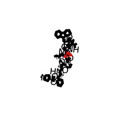 CC[C@H](C)[C@@H]([C@@H](CC(=O)N1CCC[C@H]1[C@H](OC)[C@@H](C)C(=O)N[C@H](C)[C@@H](OC(=O)N1CCN(C)CC1)c1ccccc1)OC)N(C)C(=O)[C@@H](NC(=O)[C@H](C(C)C)N(C)C(=O)OCC1c2ccccc2-c2ccccc21)C(C)C